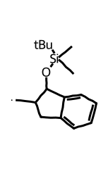 [CH2]C1Cc2ccccc2C1O[Si](C)(C)C(C)(C)C